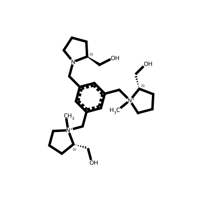 C[N+]1(Cc2cc(CN3CCC[C@H]3CO)cc(C[N+]3(C)CCC[C@H]3CO)c2)CCC[C@H]1CO